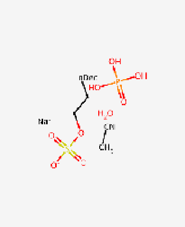 CC#N.CCCCCCCCCCCCOS(=O)(=O)[O-].O.O=P(O)(O)O.[Na+]